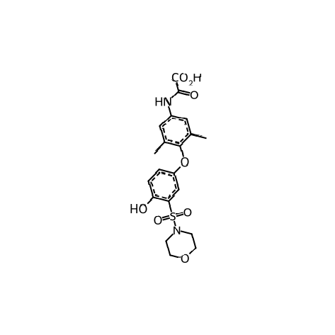 Cc1cc(NC(=O)C(=O)O)cc(C)c1Oc1ccc(O)c(S(=O)(=O)N2CCOCC2)c1